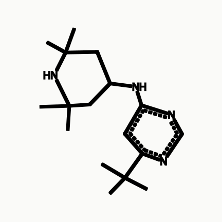 CC1(C)CC(Nc2cc(C(C)(C)C)ncn2)CC(C)(C)N1